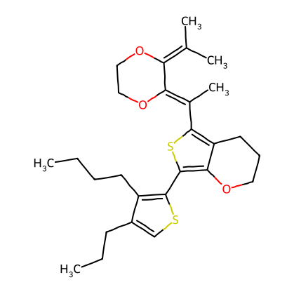 CCCCc1c(CCC)csc1-c1sc(/C(C)=C2\OCCOC2=C(C)C)c2c1OCCC2